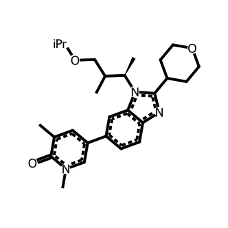 Cc1cc(-c2ccc3nc(C4CCOCC4)n([C@H](C)C(C)COC(C)C)c3c2)cn(C)c1=O